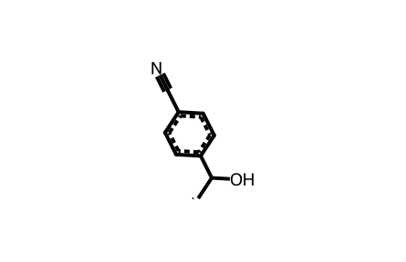 [CH2]C(O)c1ccc(C#N)cc1